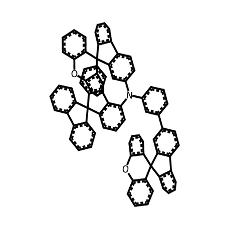 c1cc(-c2ccc3c(c2)C2(c4ccccc4Oc4ccccc42)c2ccccc2-3)cc(N(c2ccc3c(c2)C2(c4ccccc4Oc4ccccc42)c2ccccc2-3)c2cccc3c2-c2ccccc2C32c3ccccc3-c3ccccc32)c1